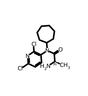 C[C@@H](N)C(=O)N(c1ccc(Cl)nc1Cl)C1CCCCCC1